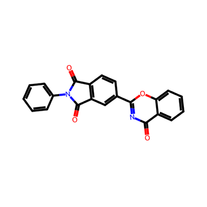 O=C1c2ccc(-c3nc(=O)c4ccccc4o3)cc2C(=O)N1c1ccccc1